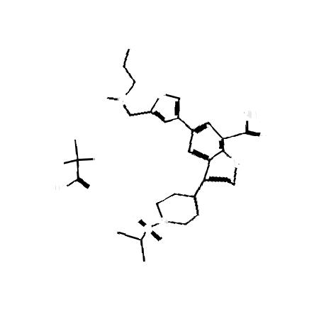 CCCN(C)Cc1cc(-c2cc(C(N)=O)c3[nH]cc(C4CCN(S(=O)(=O)C(C)C)CC4)c3c2)cs1.O=C(O)C(F)(F)F